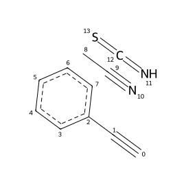 C#Cc1ccccc1.CC#N.N=C=S